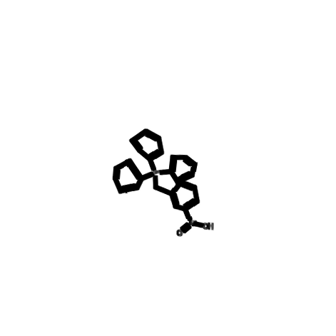 O=[N+](O)c1cccc(C[P+](c2ccccc2)(c2ccccc2)c2ccccc2)c1